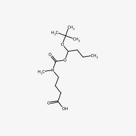 CCCC(OC(=O)N(C)CCCC(=O)O)OC(C)(C)C